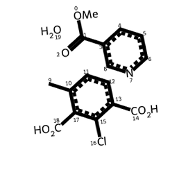 COC(=O)c1cccnc1.Cc1ccc(C(=O)O)c(Cl)c1C(=O)O.O